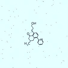 CC1CC(=O)c2c(SCCO)ccc(-c3ccccn3)c2C1